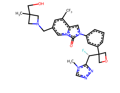 Cn1cnnc1[C@H](F)C1(c2cccc(-n3cc4c(C(F)(F)F)cc(CN5CC(C)(CO)C5)cn4c3=O)c2)COC1